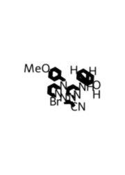 COc1ccc(CN(c2cccc(Br)n2)c2cc(N[C@@]34C[C@@H]5C[C@@H](C[C@@](O)(C5)C3)C4)nn3c(C#N)cnc23)cc1